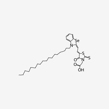 CCCCCCCCCCCCCCCCCCN1C(=CC=C2SC(=S)N(CC(=O)O)C2=O)[Se]c2ccccc21